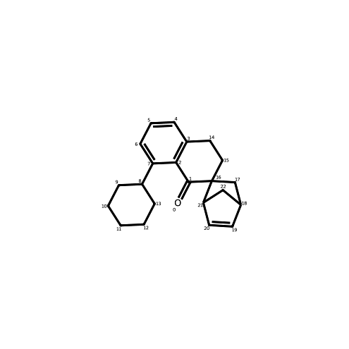 O=C1c2c(cccc2C2CCCCC2)CCC12CC1C=CC2C1